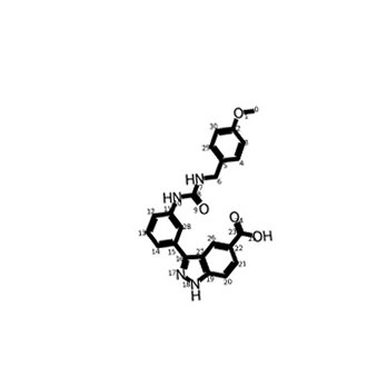 COc1ccc(CNC(=O)Nc2cccc(-c3n[nH]c4ccc(C(=O)O)cc34)c2)cc1